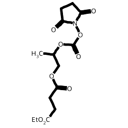 CCOC(=O)CCC(=O)OCC(C)OC(=O)ON1C(=O)CCC1=O